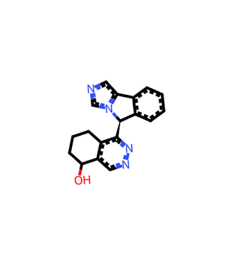 OC1CCCc2c1cnnc2[C@@H]1c2ccccc2-c2cncn21